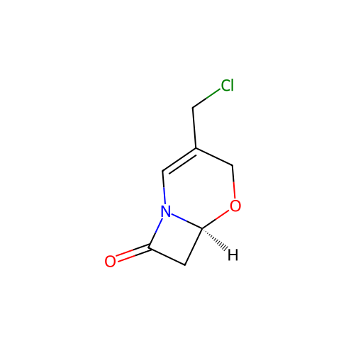 O=C1C[C@@H]2OCC(CCl)=CN12